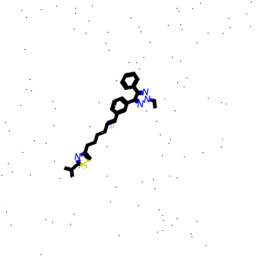 CCn1nc(-c2ccccc2)c(-c2cccc(/C=C/CCCCc3csc(C(C)C)n3)c2)n1